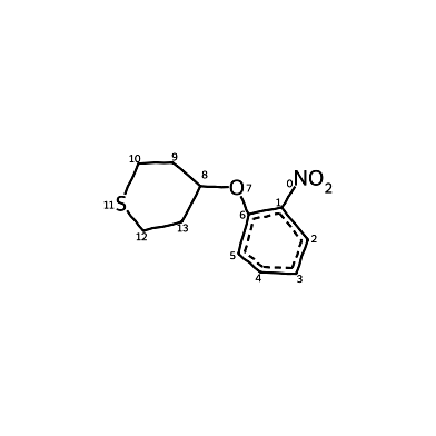 O=[N+]([O-])c1ccccc1OC1CCSCC1